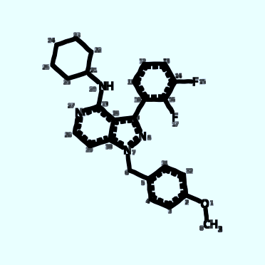 COc1ccc(Cn2nc(-c3cccc(F)c3F)c3c(NC4CCCCC4)nccc32)cc1